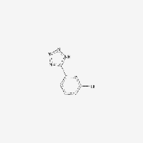 CCc1[c]ccc(-c2nnn[nH]2)c1